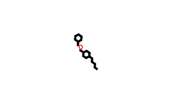 CCCCCC1CCC(COCC2CCCCC2)CC1